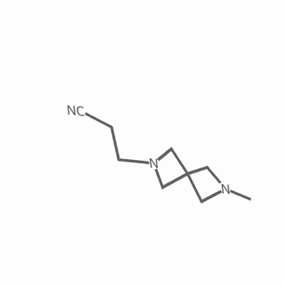 CN1CC2(C1)CN(CCC#N)C2